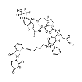 CC(=O)N1CC[C@H]2CC[C@@H](C(=O)N[C@@H](CCC(N)=O)C(=O)N[C@H](C(=O)NCCCCC#Cc3cccc4c3CN(C3CCC(=O)NC3=O)C4=O)c3ccccc3)N2C(=O)[C@@H](NC(=O)c2cc3cc(C(F)(F)P(=O)(O)O)ccc3s2)C1